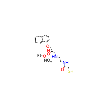 CCO[N+](=O)[O-].O=C(CS)NCCNCC(O)COc1cccc2ccccc12